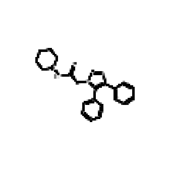 O=C(Cn1nnc(-c2ccccc2)c1-c1ccccc1)NN1CCCCC1